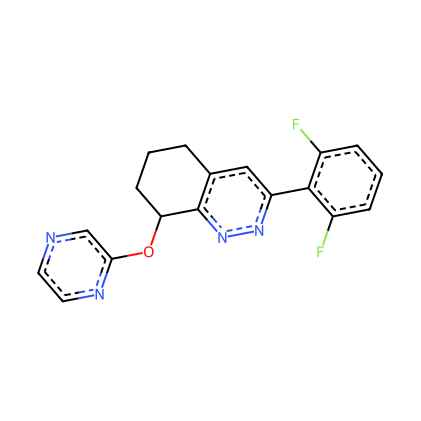 Fc1cccc(F)c1-c1cc2c(nn1)C(Oc1cnccn1)CCC2